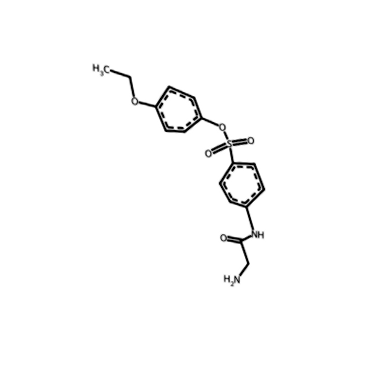 CCOc1ccc(OS(=O)(=O)c2ccc(NC(=O)CN)cc2)cc1